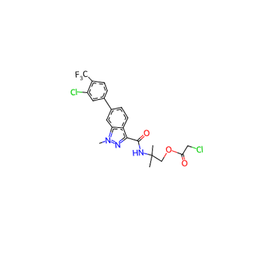 Cn1nc(C(=O)NC(C)(C)COC(=O)CCl)c2ccc(-c3ccc(C(F)(F)F)c(Cl)c3)cc21